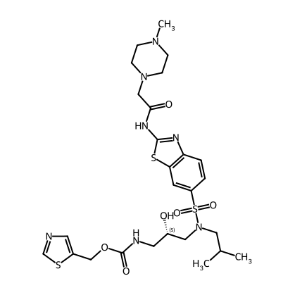 CC(C)CN(C[C@@H](O)CNC(=O)OCc1cncs1)S(=O)(=O)c1ccc2nc(NC(=O)CN3CCN(C)CC3)sc2c1